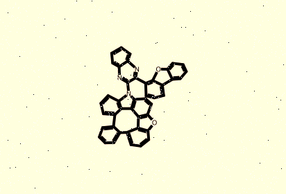 c1ccc2nc(-n3c4cccc5c6ccccc6c6cccc7oc8ccc3c(c8c76)c54)c(-c3cccc4c3oc3ccccc34)nc2c1